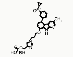 Cc1cnc2[nH]c3c(OCCCn4cnc(COP(=O)(O)O)c4)ccc(-c4cccc([S+]([O-])C5CC5)c4)c3c2c1